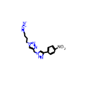 [N-]=[N+]=NCCCCn1cc(Cn2cc(-c3ccc([N+](=O)[O-])cc3)nn2)nn1